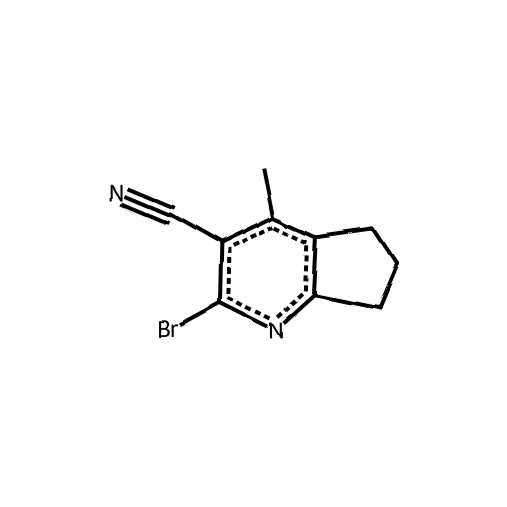 Cc1c(C#N)c(Br)nc2c1CCC2